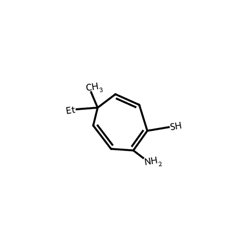 CCC1(C)C=CC(N)=C(S)C=C1